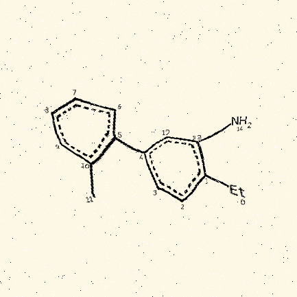 CCc1ccc(-c2ccccc2C)cc1N